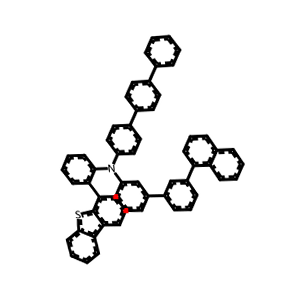 c1ccc(-c2ccc(-c3ccc(N(c4cccc(-c5cccc(-c6cccc7ccccc67)c5)c4)c4ccccc4-c4cccc5c4sc4ccccc45)cc3)cc2)cc1